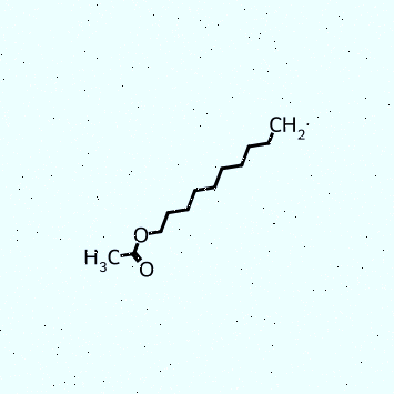 [CH2]CCCCCCCCCOC(C)=O